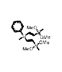 CO[Si](C)(C=C[Si](C)(C=C[Si](C)(OC)OC)c1ccccc1)OC